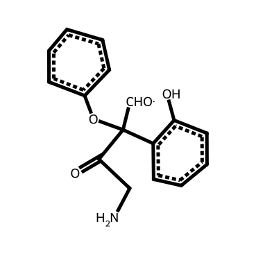 NCC(=O)C([C]=O)(Oc1ccccc1)c1ccccc1O